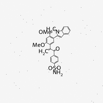 C=C(C(=O)c1ccc(S(N)(=O)=O)cc1)c1cc(-c2cc3ccccc3n2C)c(OC)cc1OC